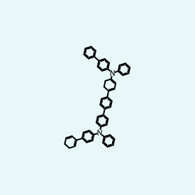 C1=CC(c2ccc(N(c3ccccc3)c3ccc(-c4ccc(C5=CC=C(N(c6ccccc6)c6ccc(-c7ccccc7)cc6)CC5)cc4)cc3)cc2)=CCC1